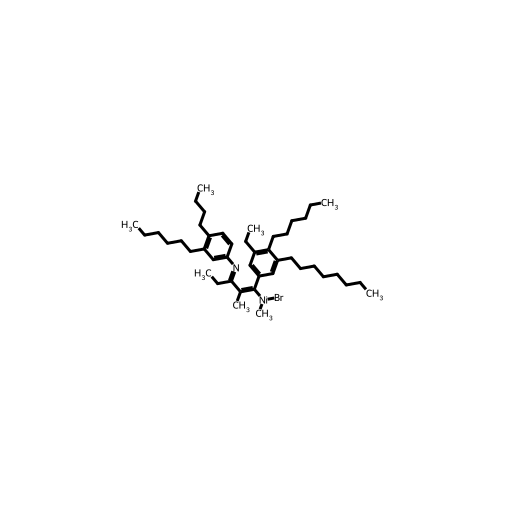 CCCCCCCCc1cc([C](=C(C)C(CC)=Nc2ccc(CCCC)c(CCCCCC)c2)[Ni]([CH3])[Br])cc(CC)c1CCCCCC